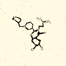 CN(C)CCn1c([C@@H]2CCCN(CC3COC3)C2)nc2cc(Cl)c(Cl)cc2c1=O